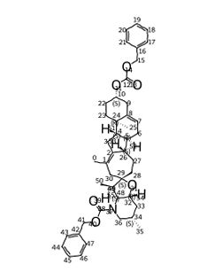 CC1=C2C[C@H]3[C@@H](CC=C4C[C@@H](OC(=O)OCc5ccccc5)CC[C@@]43C)[C@@H]2CC[C@@]2(C1)O[C@@H]1C[C@H](C)CN(C(=O)OCc3ccccc3)[C@H]1[C@H]2C